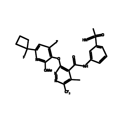 COc1nc(C2(F)CCC2)cc(F)c1Oc1nnc(C(F)(F)F)c(C)c1C(=O)Nc1cccc(S(C)(=N)=O)c1